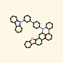 c1ccc(-c2ccccc2N(c2ccc(-c3cccc(-n4c5ccccc5c5ccccc54)c3)cc2)c2ccc3ccc4c5ccccc5oc4c3c2)cc1